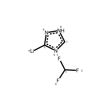 F[C](F)F.[Li][c]1nc[nH]n1